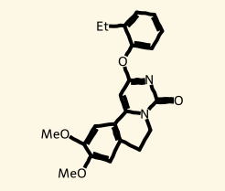 CCc1ccccc1Oc1cc2n(c(=O)n1)CCc1cc(OC)c(OC)cc1-2